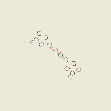 c1ccc(-c2cc3ccccc3c3c2oc2c(N(c4ccccc4)c4ccc5c(c4)oc4cc6c(cc45)oc4cc5c(cc46)oc4cc(N(c6ccccc6)c6cccc7c6oc6c(-c8ccccc8)cc8ccccc8c67)ccc45)cccc23)cc1